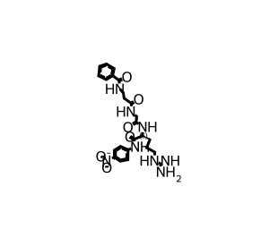 N=C(N)NCCC[C@H](NC(=O)CNC(=O)CCNC(=O)c1ccccc1)C(=O)Nc1ccc([N+](=O)[O-])cc1